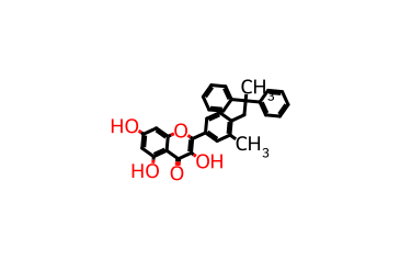 Cc1cc(-c2oc3cc(O)cc(O)c3c(=O)c2O)ccc1CC(C)(c1ccccc1)c1ccccc1